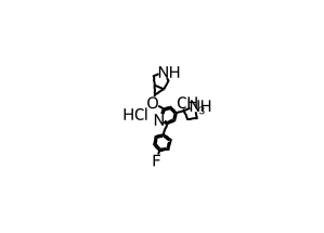 CC1(c2cc(OC3C4CNCC43)nc(-c3ccc(F)cc3)c2)CCN1.Cl